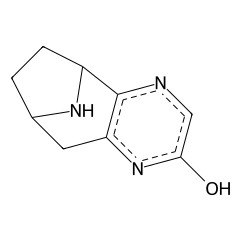 Oc1cnc2c(n1)CC1CCC2N1